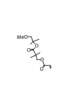 C=CC(=O)OCC(C)(C)C(=O)OC(C)(C)COC